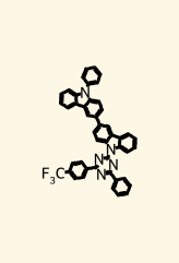 FC(F)(F)c1ccc(-c2nc(-c3ccccc3)nc(-n3c4ccccc4c4cc(-c5ccc6c(c5)c5ccccc5n6-c5ccccc5)ccc43)n2)cc1